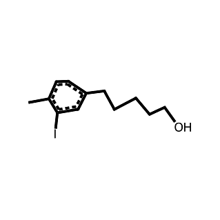 Cc1ccc(CCCCCO)cc1I